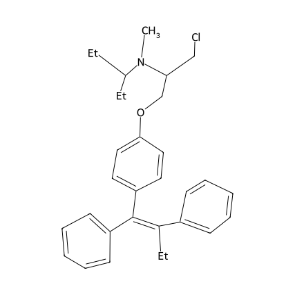 CC/C(=C(\c1ccccc1)c1ccc(OCC(CCl)N(C)C(CC)CC)cc1)c1ccccc1